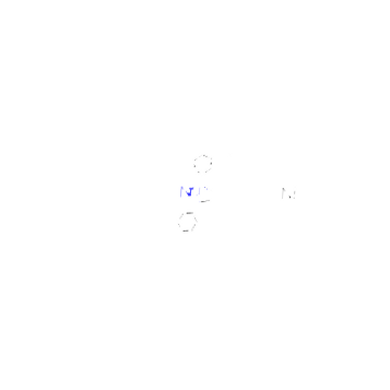 CCCCCCCCc1cc(CCCCCCCC)cc(C2=CC(CCCC)=C(c3cc(CCCCCCCC)cc(CCCCCCCC)c3)[N+]2=[N-])c1.[Ni]